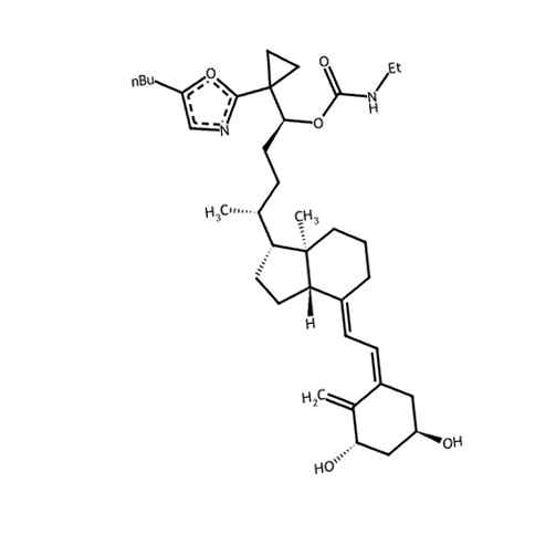 C=C1/C(=C\C=C2/CCC[C@]3(C)[C@@H]([C@H](C)CC[C@H](OC(=O)NCC)C4(c5ncc(CCCC)o5)CC4)CC[C@@H]23)C[C@@H](O)C[C@@H]1O